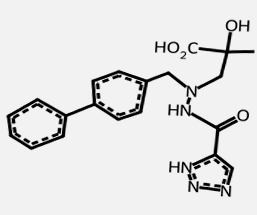 CC(O)(CN(Cc1ccc(-c2ccccc2)cc1)NC(=O)c1cnn[nH]1)C(=O)O